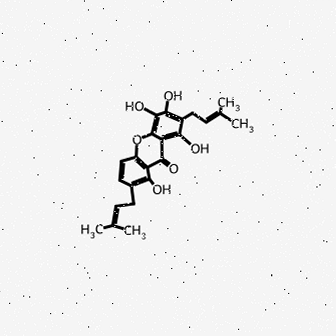 CC(C)=CCc1ccc2oc3c(O)c(O)c(CC=C(C)C)c(O)c3c(=O)c2c1O